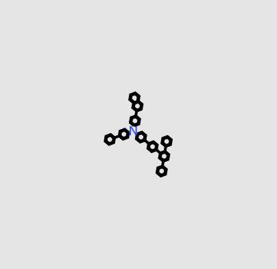 c1ccc(-c2ccc(N(c3ccc(-c4ccc(-c5cc(-c6ccccc6)ccc5-c5ccccc5)cc4)cc3)c3ccc(-c4ccc5ccccc5c4)cc3)cc2)cc1